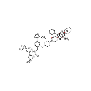 Cc1ncsc1-c1ccc(CNC(=O)[C@@H]2C[C@@H](O)CN2C(=O)CC(C)(C)C)c(O[C@H]2CC[C@H](N3CCC(c4cnc(N5C6CCC5CN(c5cc(-c7ccccc7O)nnc5N)C6)nc4)CC3)CC2)c1